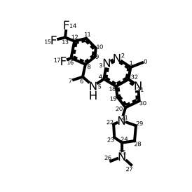 Cc1nnc(NC(C)c2cccc(C(F)F)c2F)c2cc(N3CCC(N(C)C)CC3)cnc12